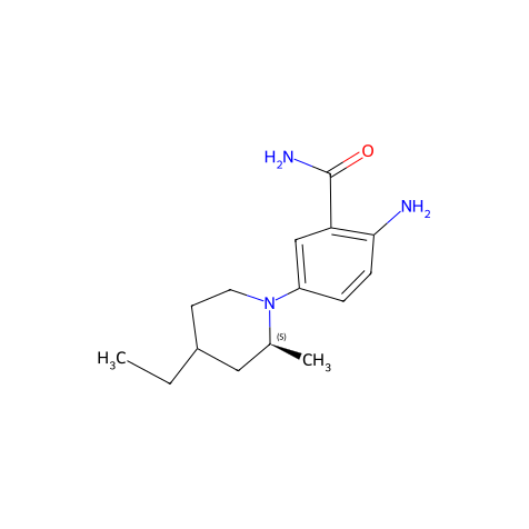 CCC1CCN(c2ccc(N)c(C(N)=O)c2)[C@@H](C)C1